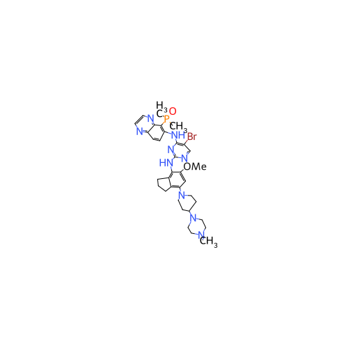 COc1cc(N2CCC(N3CCN(C)CC3)CC2)c2c(c1Nc1ncc(Br)c(Nc3ccc4nccnc4c3P(C)(C)=O)n1)CCC2